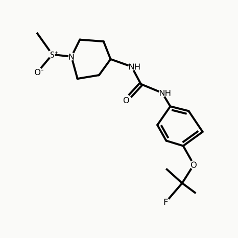 C[S+]([O-])N1CCC(NC(=O)Nc2ccc(OC(C)(C)F)cc2)CC1